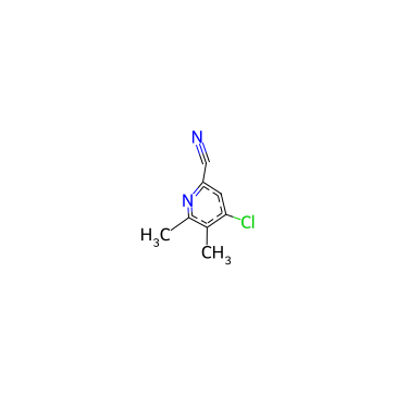 Cc1nc(C#N)cc(Cl)c1C